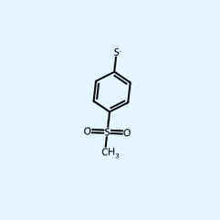 CS(=O)(=O)c1ccc([S])cc1